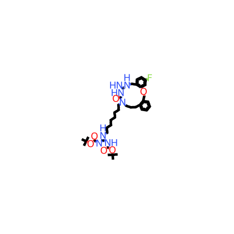 CC(C)(C)OC(=O)/N=C(\NCCCCCCCCN1CCCc2ccccc2COc2cc(F)ccc2CNC(=N)NC1=O)NC(=O)OC(C)(C)C